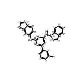 Cc1cccc(-c2cc(Nn3ncc4ccccc43)nc(Sc3ccc4ncsc4c3)n2)c1